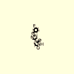 O=c1ccn(-c2cnc(Oc3cccc(F)c3)nc2)c(=O)[nH]1